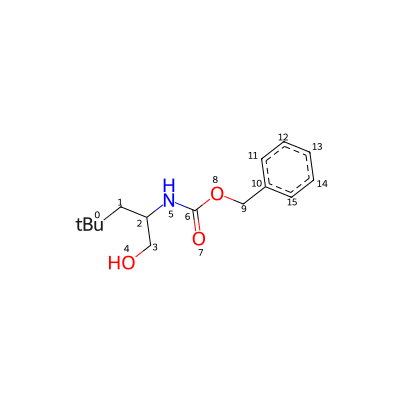 CC(C)(C)CC(CO)NC(=O)OCc1ccccc1